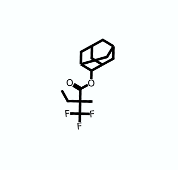 CCC(C)(C(=O)OC1C2CC3CC(C2)CC1C3)C(F)(F)F